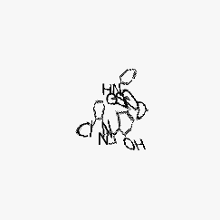 COc1cc(O)c(-c2ccnn2-c2ccccc2Cl)cc1S(=O)(=O)Nc1ccccc1